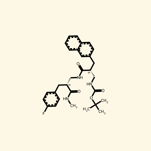 CNC(=O)[C@@H](CNC(=O)[C@@H](CNC(=O)OC(C)(C)C)Cc1ccc2ccccc2c1)Cc1ccc(F)cc1